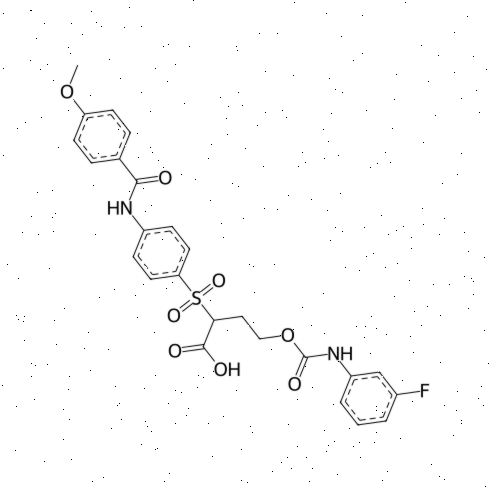 COc1ccc(C(=O)Nc2ccc(S(=O)(=O)C(CCOC(=O)Nc3cccc(F)c3)C(=O)O)cc2)cc1